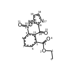 CCOC(=O)c1cccc([N+](=O)[O-])c1C(=O)c1ncc[nH]1